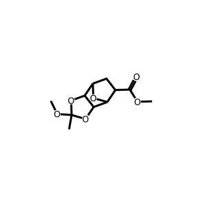 COC(=O)C1CC2OC1C1OC(C)(OC)OC21